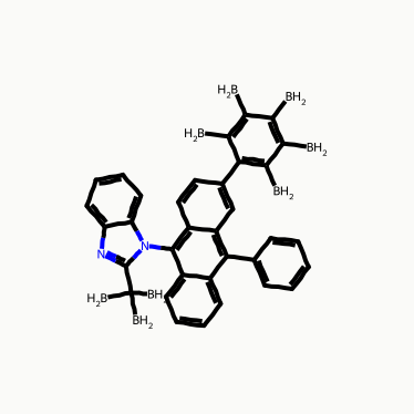 Bc1c(B)c(B)c(-c2ccc3c(-n4c(C(B)(B)B)nc5ccccc54)c4ccccc4c(-c4ccccc4)c3c2)c(B)c1B